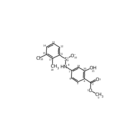 COC(=O)c1ccc(N[S+]([O-])c2cccc(Cl)c2C)cc1O